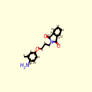 Cc1cc(OCCCN2C(=O)c3ccccc3C2=O)ccc1N